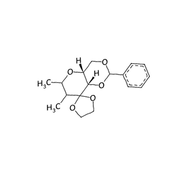 CC1O[C@@H]2COC(c3ccccc3)O[C@@H]2C2(OCCO2)C1C